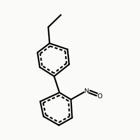 CCc1ccc(-c2ccccc2N=O)cc1